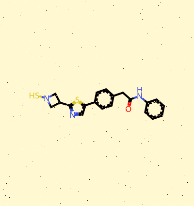 O=C(Cc1ccc(-c2cnc(C3CN(S)C3)s2)cc1)Nc1ccccc1